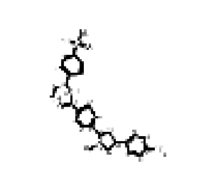 CCS(=O)(=O)c1ccc([C@H](CO)NC(=O)c2ccc(C3CC(c4ccc(C(F)(F)F)cc4)CN3C)cc2)cc1